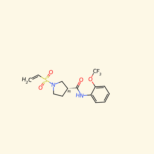 C=CS(=O)(=O)N1CC[C@@H](C(=O)Nc2ccccc2OC(F)(F)F)C1